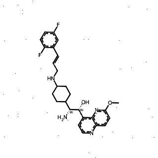 COc1ccc2nccc([C@@H](O)[C@H](N)C3CCC(NCC=Cc4cc(F)ccc4F)CC3)c2n1